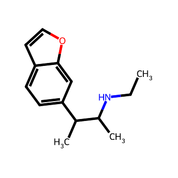 CCNC(C)C(C)c1ccc2ccoc2c1